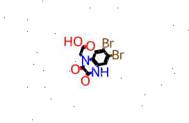 O=C(O)Cn1c(=O)c(=O)[nH]c2cc(Br)c(Br)cc21